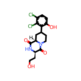 O=C1N[C@H](CCO)C(=O)N2CCC(c3c(O)ccc(Cl)c3Cl)C[C@H]12